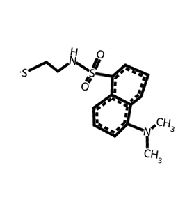 CN(C)c1cccc2c(S(=O)(=O)NCC[S])cccc12